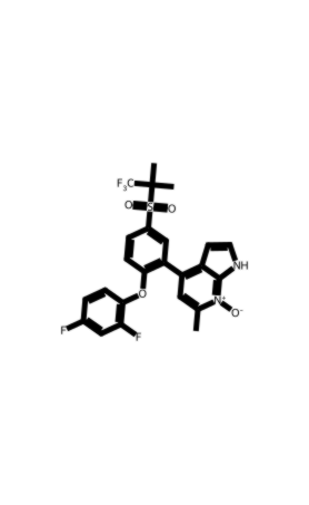 Cc1cc(-c2cc(S(=O)(=O)C(C)(C)C(F)(F)F)ccc2Oc2ccc(F)cc2F)c2cc[nH]c2[n+]1[O-]